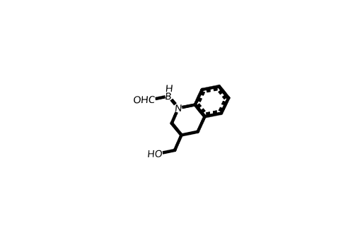 O=CBN1CC(CO)Cc2ccccc21